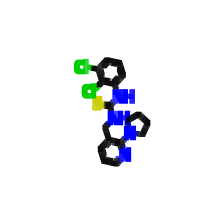 S=C(NCc1cccnc1N1CCCC1)Nc1cccc(Cl)c1Cl